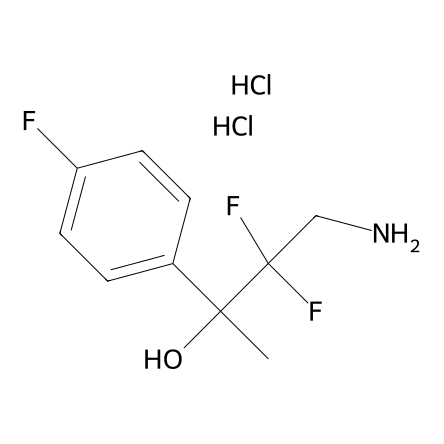 CC(O)(c1ccc(F)cc1)C(F)(F)CN.Cl.Cl